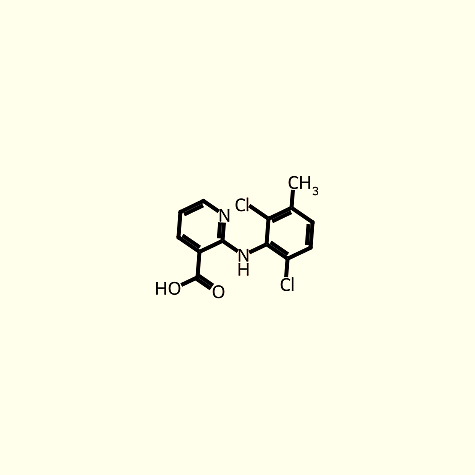 Cc1ccc(Cl)c(Nc2ncccc2C(=O)O)c1Cl